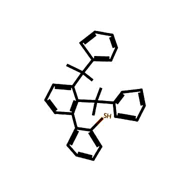 CC(C)(c1ccccc1)c1cccc(-c2ccccc2S)c1C(C)(C)c1ccccc1